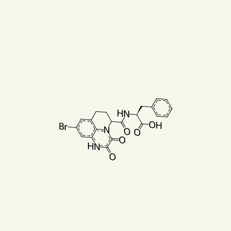 O=C(N[C@@H](Cc1ccccc1)C(=O)O)C1CCc2cc(Br)cc3[nH]c(=O)c(=O)n1c23